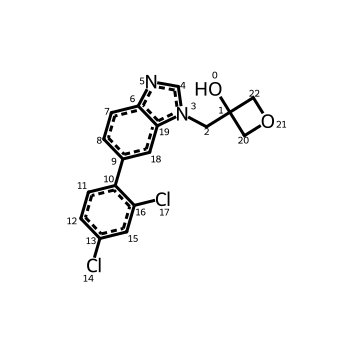 OC1(Cn2cnc3ccc(-c4ccc(Cl)cc4Cl)cc32)COC1